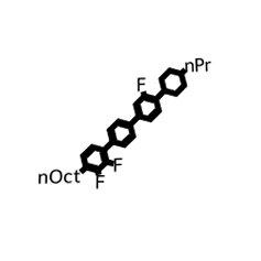 CCCCCCCCc1ccc(-c2ccc(-c3ccc(C4CCC(CCC)CC4)c(F)c3)cc2)c(F)c1F